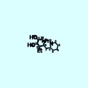 CCCN1CCCC[C@H]1Cc1ccc(O)c(O)c1CC